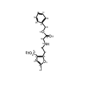 CCOC(=O)c1nc(I)oc1CCNCC(=O)OCc1ccccc1